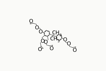 CC(C)(c1ccc(OCOCC2CO2)cc1)c1ccc(OCOCC2CO2)c(COCC2CO2)c1COCC1CO1